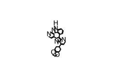 c1cc(-c2c(-c3ccncc3)nn3c(C4CCC5(CC4)OCCO5)ccnc23)c2cn[nH]c2c1